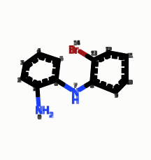 Nc1ccccc1Nc1ccccc1Br